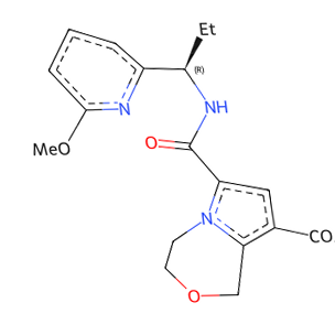 CC[C@@H](NC(=O)c1cc(C(=O)O)c2n1CCOC2)c1cccc(OC)n1